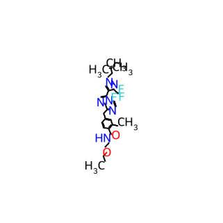 CCCOCCNC(=O)c1ccc(Cc2nccn3c(-c4cn(CCC(C)(C)C)nc4C(F)(F)F)cnc23)cc1CC